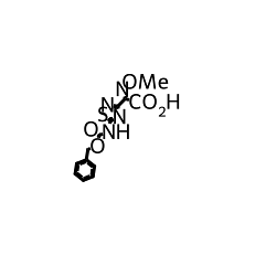 CO/N=C(\C(=O)O)c1nsc(NC(=O)OCc2ccccc2)n1